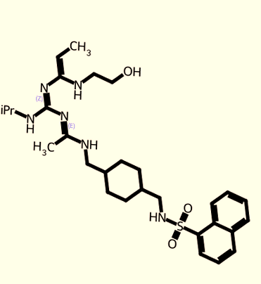 CC=C(/N=C(\N=C(/C)NCC1CCC(CNS(=O)(=O)c2cccc3ccccc23)CC1)NC(C)C)NCCO